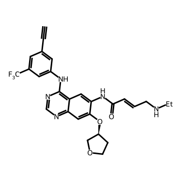 C#Cc1cc(Nc2ncnc3cc(O[C@H]4CCOC4)c(NC(=O)C=CCNCC)cc23)cc(C(F)(F)F)c1